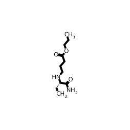 CCCOC(=O)CCCN[C@@H](CC)C(N)=O